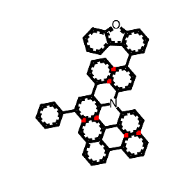 c1ccc(-c2ccc(N(c3ccc(-c4cccc5oc6ccccc6c45)cc3)c3ccccc3-c3cccc4cccc(-c5ccccc5)c34)c(-c3ccccc3)c2)cc1